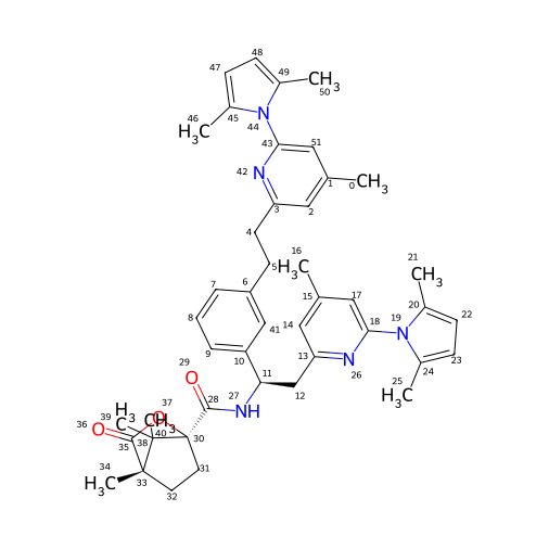 Cc1cc(CCc2cccc([C@@H](Cc3cc(C)cc(-n4c(C)ccc4C)n3)NC(=O)[C@@]34CC[C@](C)(C(=O)O3)C4(C)C)c2)nc(-n2c(C)ccc2C)c1